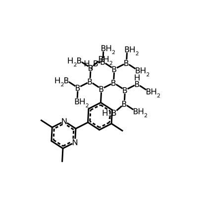 BBB(B(B)B)B(B(B(B)B)B(B)B)B(B(B(B)B)B(B)B)c1cc(C)cc(-c2nc(C)cc(C)n2)c1